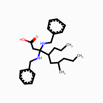 CCCC(C)CC(CCC)C(CC(=O)O)(NCc1ccccc1)NCc1ccccc1